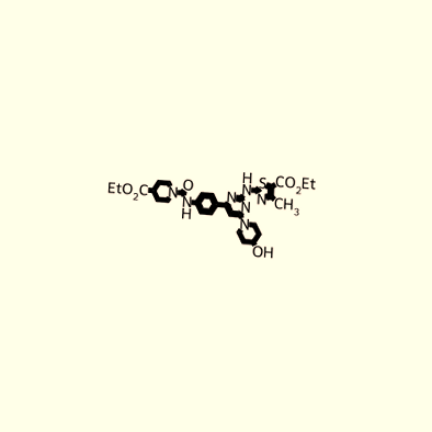 CCOC(=O)c1sc(Nc2nc(-c3ccc(NC(=O)N4CCC(C(=O)OCC)CC4)cc3)cc(N3CCC(O)CC3)n2)nc1C